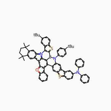 CC(C)(C)c1ccc(N2B3c4sc5ccc(C(C)(C)C)cc5c4-n4c5cc6c(cc5c5c7oc8ccccc8c7c(c3c54)-c3cc4sc5ccc(N(c7ccccc7)c7ccccc7)cc5c4cc32)C(C)(C)CCC6(C)C)cc1